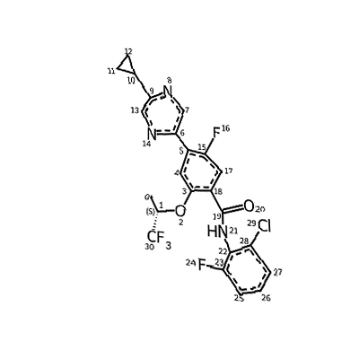 C[C@H](Oc1cc(-c2cnc(C3CC3)cn2)c(F)cc1C(=O)Nc1c(F)cccc1Cl)C(F)(F)F